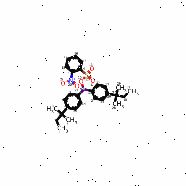 CCC(C)(C)c1ccc([I+](OS(=O)(=O)c2ccccc2[N+](=O)[O-])c2ccc(C(C)(C)CC)cc2)cc1